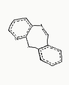 [C]1c2ccccc2C=Nc2cccnc21